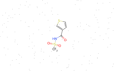 O=C(NS(=O)(=O)C(F)(F)F)c1ccsc1